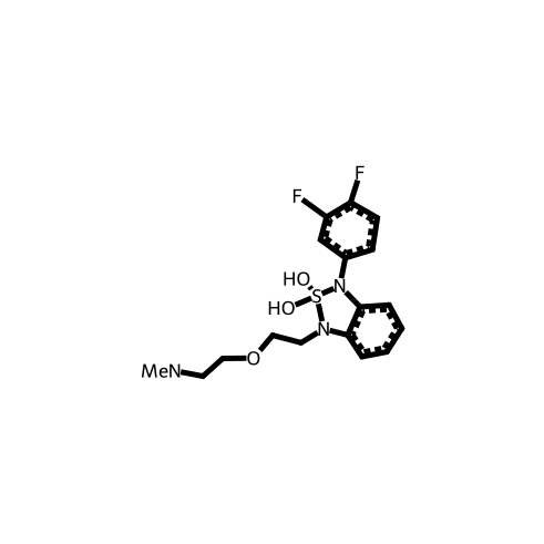 CNCCOCCN1c2ccccc2N(c2ccc(F)c(F)c2)S1(O)O